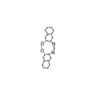 C1=Nc2cc3ccccc3cc2OCOc2cc3ccccc3cc2N=1